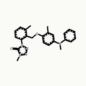 Cc1cc(N(C)c2ccccc2)ccc1OCc1c(C)cccc1-n1nnn(C)c1=O